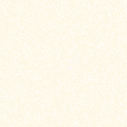 CCCCCOC(CC)c1cccc(-c2csc(NC(=O)c3cc(Cl)c(/C=C(\C)C(=O)O)c(Cl)c3)n2)c1OC